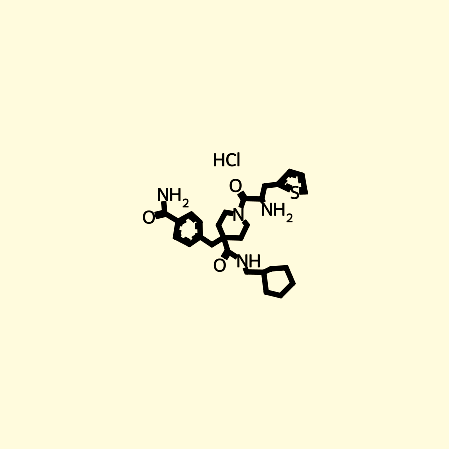 Cl.NC(=O)c1ccc(CC2(C(=O)NCC3CCCCC3)CCN(C(=O)C(N)Cc3cccs3)CC2)cc1